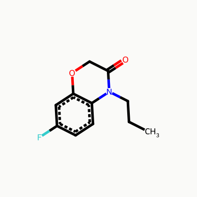 CCCN1C(=O)COc2cc(F)ccc21